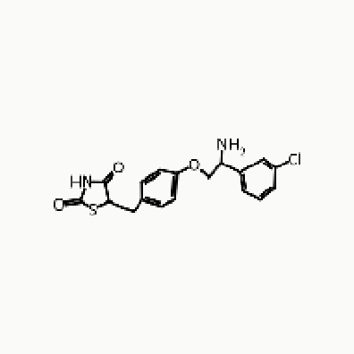 NC(COc1ccc(CC2SC(=O)NC2=O)cc1)c1cccc(Cl)c1